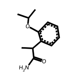 CC(C)Oc1ccccc1C(C)C(N)=O